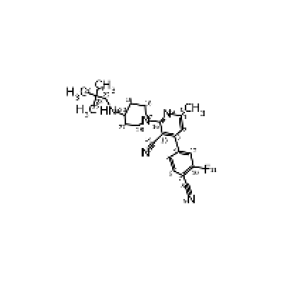 Cc1cc(-c2ccc(C#N)c(F)c2)c(C#N)c(N2CCC(NCC(C)(C)C)CC2)n1